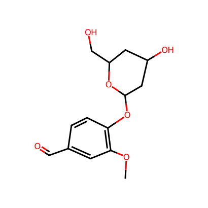 COc1cc(C=O)ccc1OC1CC(O)CC(CO)O1